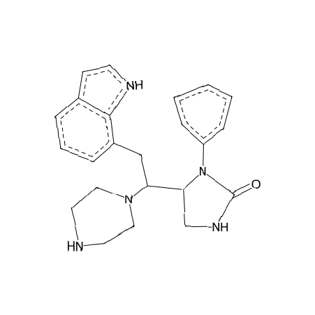 O=C1NCC(C(Cc2cccc3cc[nH]c23)N2CCNCC2)N1c1ccccc1